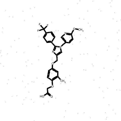 COc1ccc(-n2cc(COc3ccc(OCC(=O)O)c(C)c3)nc2-c2ccc(C(F)(F)F)cc2)cn1